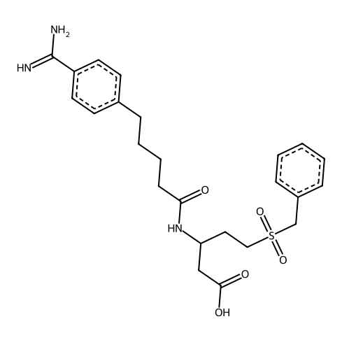 N=C(N)c1ccc(CCCCC(=O)NC(CCS(=O)(=O)Cc2ccccc2)CC(=O)O)cc1